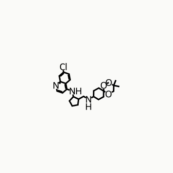 CC1(C)COC2(CCC(NCC3CCCC3Nc3ccnc4cc(Cl)ccc34)CC2)OO1